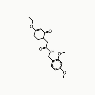 CCOC1=CC(=O)C(CC(=O)NCc2ccc(OC)cc2OC)CC1